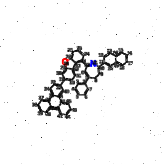 C1=C(c2ccccc2)CC=C(c2ccc3ccccc3c2)N=C1c1cccc2oc3cc(-c4ccc5c6ccccc6c6ccccc6c5c4)ccc3c12